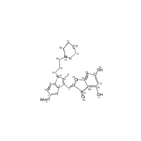 COc1ccc2c(c1)c(/C=C1\Oc3cc(O)cc(O)c3C1=O)c(C)n2CCCN1CCOCC1